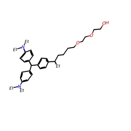 CCC(CCCCOCCOCCO)c1ccc(C(c2ccc(N(CC)CC)cc2)c2ccc(N(CC)CC)cc2)cc1